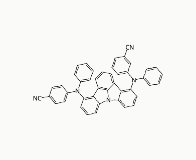 N#Cc1ccc(N(c2ccccc2)c2cccc3c2c2cccc4c5c(N(c6ccccc6)c6cccc(C#N)c6)cccc5n3c24)cc1